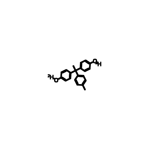 [2H]Oc1ccc(C(C)(c2ccc(C)cc2)c2ccc(O[2H])cc2)cc1